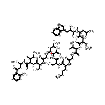 CC(NC(=O)C(CC(=O)O)NC(=O)C(CCCN)NC(=O)CNC(=O)C(NC(=O)C(CC(=O)O)NC(=O)C(CC(N)=O)NC(=O)C(N)Cc1c[nH]c2ccccc12)C(C)O)C(=O)NC(CC(=O)NCC(=O)NC(CO)C(=O)NC(C(=O)NC(CC(=O)c1ccccc1N)C(=O)O)C(C)CC(=O)O)C(=O)O